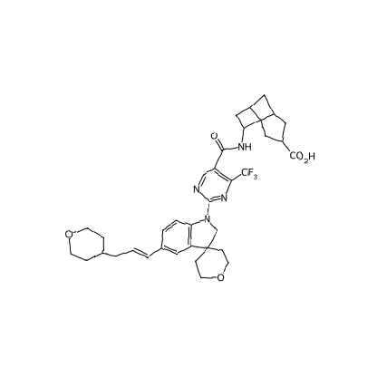 O=C(NC1CC2CC3CC(C(=O)O)CC321)c1cnc(N2CC3(CCOCC3)c3cc(/C=C/CC4CCOCC4)ccc32)nc1C(F)(F)F